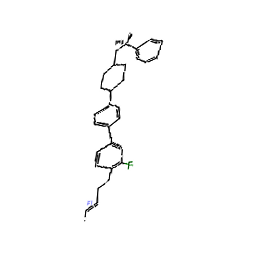 C/C=C/CCc1ccc(-c2ccc(C3CCC(C[C@@H](C)c4ccccc4)CC3)cc2)cc1F